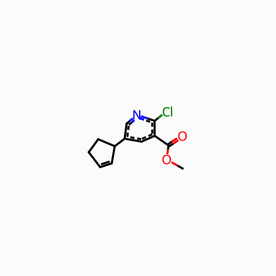 COC(=O)c1cc(C2C=CCC2)cnc1Cl